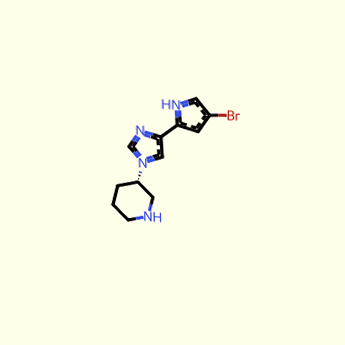 Brc1c[nH]c(-c2cn([C@H]3CCCNC3)cn2)c1